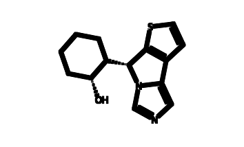 O[C@@H]1CCCCC1[C@@H]1c2sccc2-c2cncn21